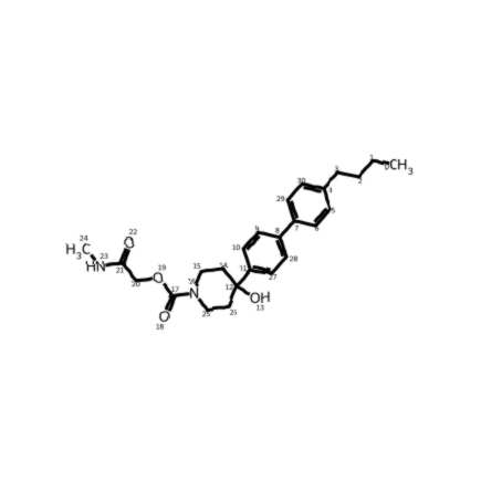 CCCCc1ccc(-c2ccc(C3(O)CCN(C(=O)OCC(=O)NC)CC3)cc2)cc1